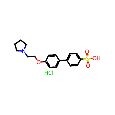 Cl.O=S(=O)(O)c1ccc(-c2ccc(OCCN3CCCC3)cc2)cc1